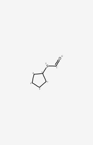 O=[C]SC1CCCC1